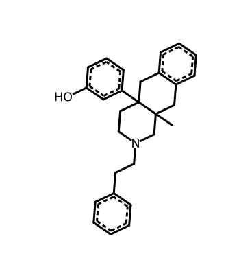 CC12Cc3ccccc3CC1(c1cccc(O)c1)CCN(CCc1ccccc1)C2